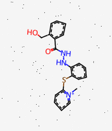 C[n+]1ccccc1Sc1ccccc1NNC(=O)c1ccccc1CO